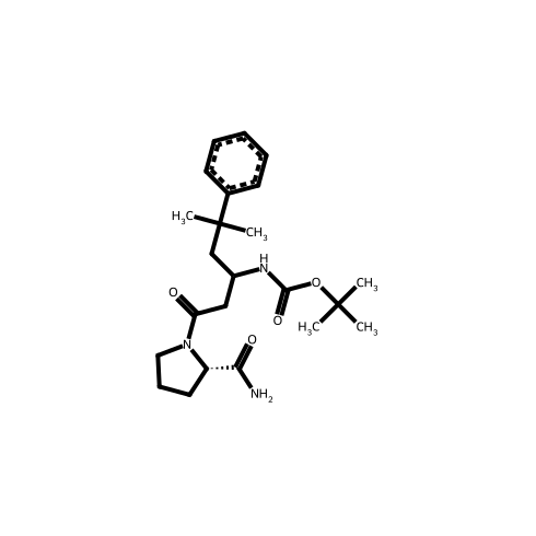 CC(C)(C)OC(=O)NC(CC(=O)N1CCC[C@H]1C(N)=O)CC(C)(C)c1ccccc1